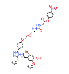 COc1cc(/C=N/n2c(SC)nnc2-c2ccc(OCCOCCNC(=O)NCC(=O)Oc3ccc([N+](=O)[O-])cc3)cc2)c(Br)cc1O